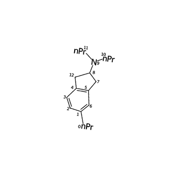 CCCc1ccc2c(c1)CC(N(CCC)CCC)C2